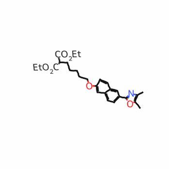 CCOC(=O)C(CCCCCOc1ccc2cc(-c3nc(C)c(C)o3)ccc2c1)C(=O)OCC